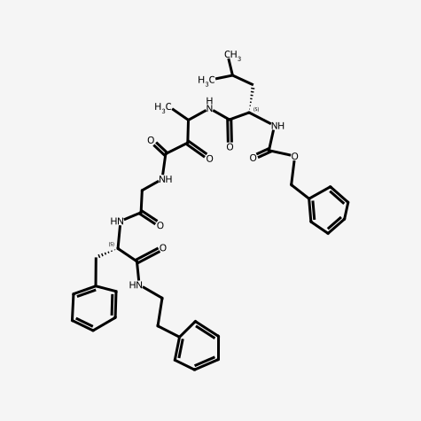 CC(C)C[C@H](NC(=O)OCc1ccccc1)C(=O)NC(C)C(=O)C(=O)NCC(=O)N[C@@H](Cc1ccccc1)C(=O)NCCc1ccccc1